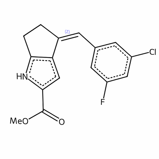 COC(=O)c1cc2c([nH]1)CC/C2=C/c1cc(F)cc(Cl)c1